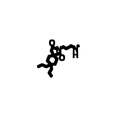 CCCC1(CCC)CCC2(CC1)CC(=O)N(CCCNC)C2=O